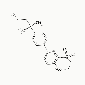 CC(C)(CCS)c1ccc(-c2ccc3c(c2)S(=O)(=O)CCN3)cc1